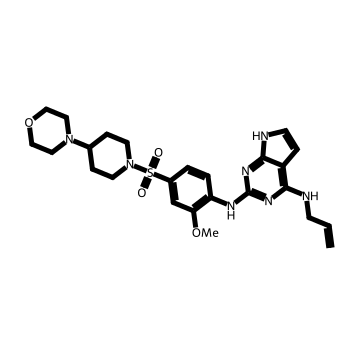 C=CCNc1nc(Nc2ccc(S(=O)(=O)N3CCC(N4CCOCC4)CC3)cc2OC)nc2[nH]ccc12